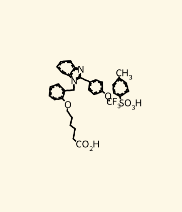 Cc1ccc(S(=O)(=O)O)cc1.O=C(O)CCCCCOc1ccccc1Cn1c(-c2ccc(OC(F)(F)F)cc2)nc2ccccc21